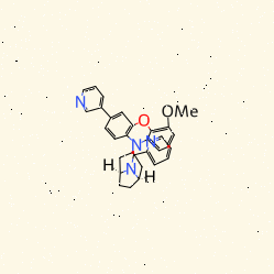 COc1cccc2c1Oc1cc(-c3cccnc3)ccc1N2[C@H]1C[C@H]2CC[C@@H](C1)N2Cc1ccccn1